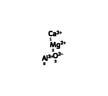 [Al+3].[Ca+2].[Mg+2].[O-2]